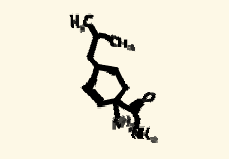 CC(C)CC1=CCC(N)(C(N)=O)C=C1